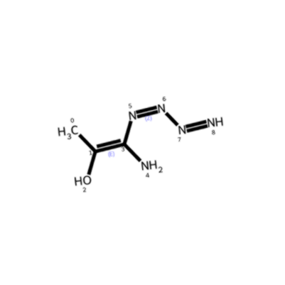 C/C(O)=C(N)\N=N/N=N